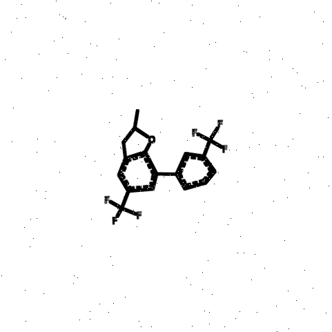 CC1Cc2cc(C(F)(F)F)cc(-c3cccc(C(F)(F)F)c3)c2O1